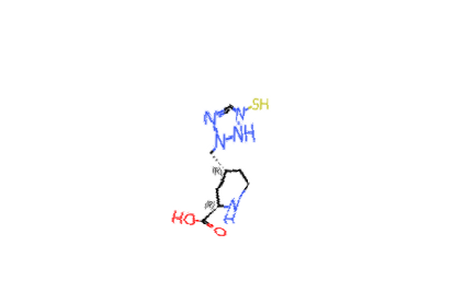 O=C(O)[C@H]1C[C@H](CN2N=CN(S)N2)CCN1